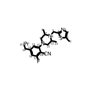 Cc1cnc(CN2C(C)CN(c3cc(CC(C)C)cc(F)c3C#N)CC2C)s1